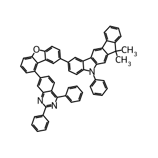 CC1(C)c2ccccc2-c2cc3c4cc(-c5ccc6oc7cccc(-c8ccc9c(-c%10ccccc%10)nc(-c%10ccccc%10)nc9c8)c7c6c5)ccc4n(-c4ccccc4)c3cc21